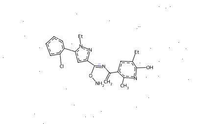 C=C(/N=C(\ON)c1cc(-c2ccccc2Cl)n(CC)n1)c1cc(CC)c(O)nc1C